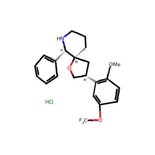 COc1ccc(OC(F)(F)F)cc1[C@@H]1CO[C@]2(CCCN[C@H]2c2ccccc2)C1.Cl